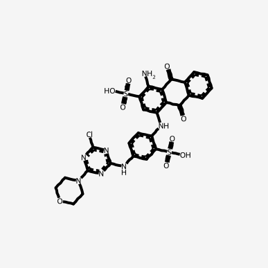 Nc1c(S(=O)(=O)O)cc(Nc2ccc(Nc3nc(Cl)nc(N4CCOCC4)n3)cc2S(=O)(=O)O)c2c1C(=O)c1ccccc1C2=O